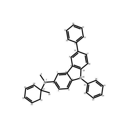 CN(c1ccc2c(c1)c1cc(-c3ccccc3)ccc1n2-c1ccccc1)C1(C)C=CC=CC1